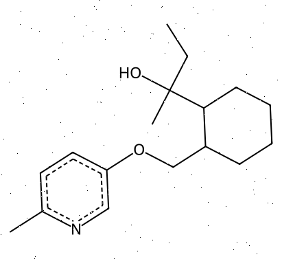 CCC(C)(O)C1CCCCC1COc1ccc(C)nc1